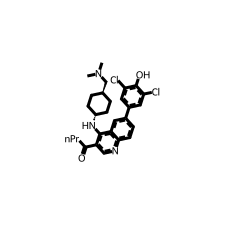 CCCC(=O)c1cnc2ccc(-c3cc(Cl)c(O)c(Cl)c3)cc2c1N[C@H]1CC[C@H](CN(C)C)CC1